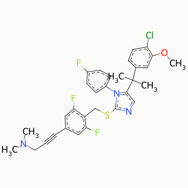 COc1cc(C(C)(C)c2cnc(SCc3c(F)cc(C#CCN(C)C)cc3F)n2-c2ccc(F)cc2)ccc1Cl